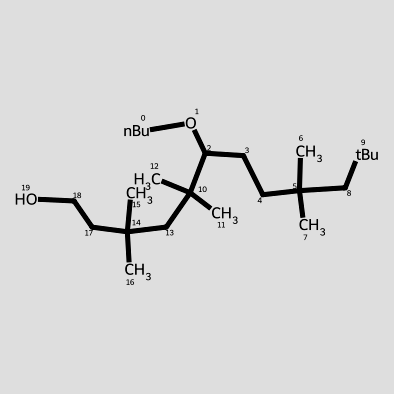 CCCCOC(CCC(C)(C)CC(C)(C)C)C(C)(C)CC(C)(C)CCO